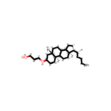 CC(C)CCC[C@@H](C)[C@H]1CCC2C3CC[C@H]4CC(OCCCO)CC[C@]4(C)C3CC[C@@]21C